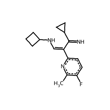 Cc1nc(/C(=C/NC2CCC2)C(=N)C2CC2)ccc1F